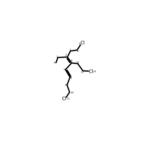 CCC(CCCl)=C(C=CCCCl)CCCl